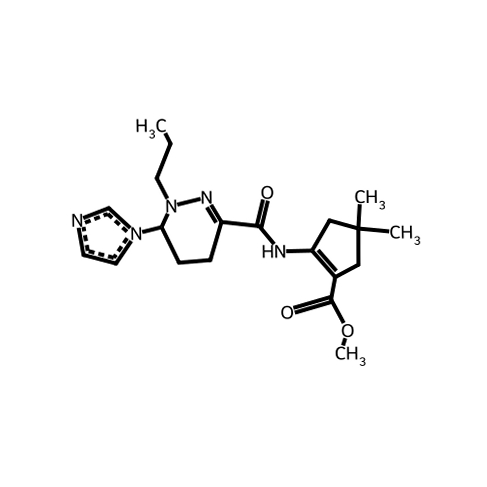 CCCN1N=C(C(=O)NC2=C(C(=O)OC)CC(C)(C)C2)CCC1n1ccnc1